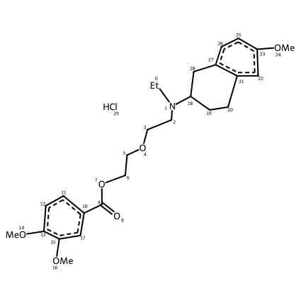 CCN(CCOCCOC(=O)c1ccc(OC)c(OC)c1)C1CCc2cc(OC)ccc2C1.Cl